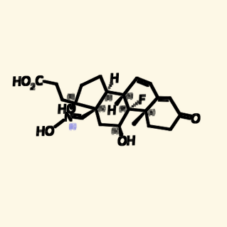 C[C@]12CCC(=O)C=C1C=C[C@H]1[C@@H]3CC[C@@](O)(CCC(=O)O)[C@@]3(/C=N/O)C[C@H](O)[C@@]12F